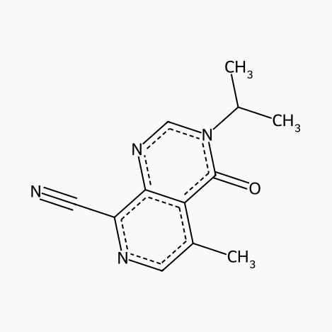 Cc1cnc(C#N)c2ncn(C(C)C)c(=O)c12